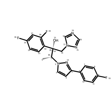 C[C@@H](n1ccc(-c2ccc(F)cc2)n1)[C@](O)(Cn1cncn1)c1ccc(F)cc1F